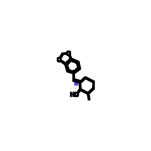 CC1CCC/C(=C\c2ccc3c(c2)OCO3)C1O